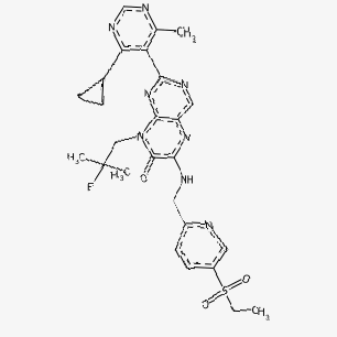 CCS(=O)(=O)c1ccc(CNc2nc3cnc(-c4c(C)ncnc4C4CC4)nc3n(CC(C)(C)F)c2=O)nc1